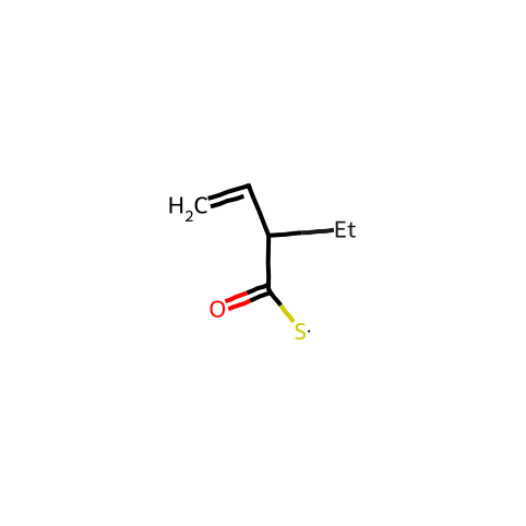 C=CC(CC)C(=O)[S]